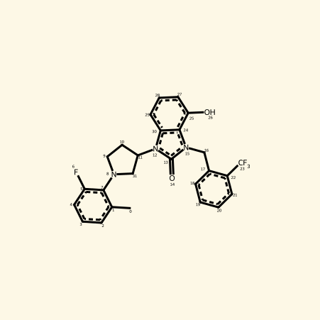 Cc1cccc(F)c1N1CCC(n2c(=O)n(Cc3ccccc3C(F)(F)F)c3c(O)cccc32)C1